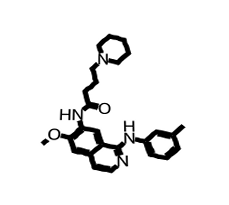 COc1cc2ccnc(Nc3cccc(C)c3)c2cc1NC(=O)CCCN1CCCCC1